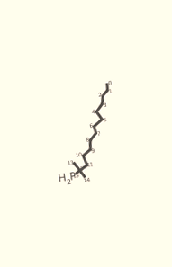 CCCCCCCCCCCCC(C)(C)P